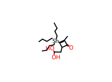 CCC[CH2][Sn]([CH2]CCC)([CH2]CCC)[C]1=C(C)C(=O)C1CC(O)O